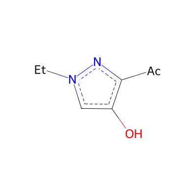 CCn1cc(O)c(C(C)=O)n1